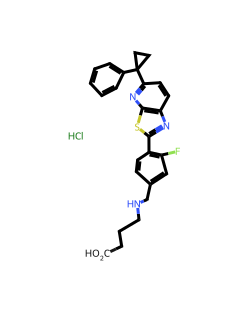 Cl.O=C(O)CCCNCc1ccc(-c2nc3ccc(C4(c5ccccc5)CC4)nc3s2)c(F)c1